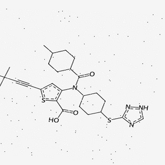 CC1CCC(C(=O)N(c2cc(C#CC(C)(C)C)sc2C(=O)O)C2CCC(Sc3nc[nH]n3)CC2)CC1